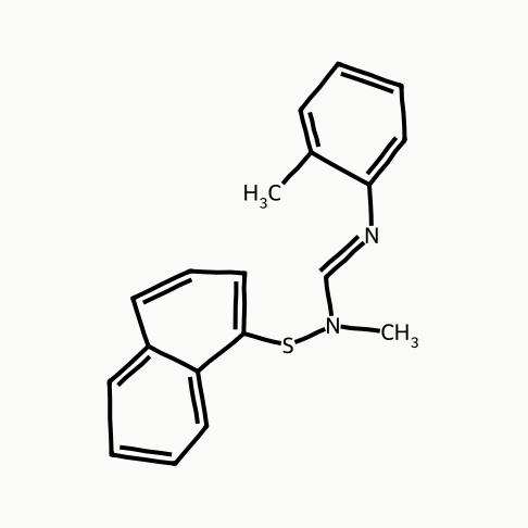 Cc1ccccc1N=CN(C)Sc1cccc2ccccc12